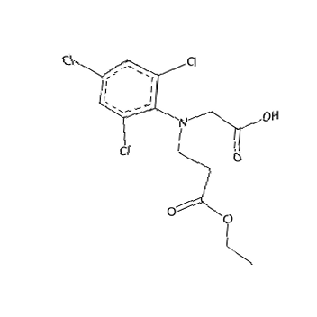 CCOC(=O)CCN(CC(=O)O)c1c(Cl)cc(Cl)cc1Cl